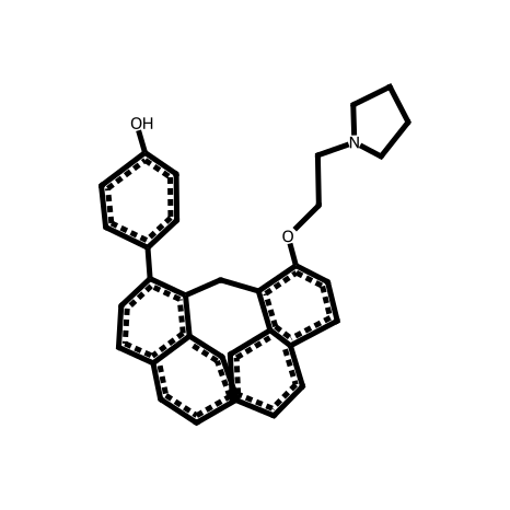 Oc1ccc(-c2ccc3ccccc3c2Cc2c(OCCN3CCCC3)ccc3ccccc23)cc1